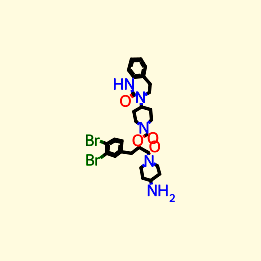 NC1CCN(C(=O)C(Cc2ccc(Br)c(Br)c2)OC(=O)N2CCC(N3CCc4ccccc4NC3=O)CC2)CC1